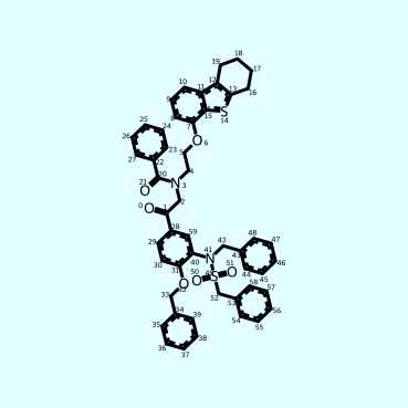 O=C(CN(CCOc1cccc2c3c(sc12)CCCC3)C(=O)c1ccccc1)c1ccc(OCc2ccccc2)c(N(Cc2ccccc2)S(=O)(=O)Cc2ccccc2)c1